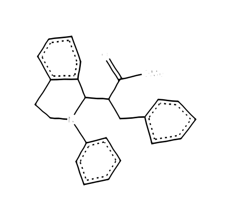 COC(=O)C(Cc1ccccc1)C1c2ccccc2CCN1c1ccccc1